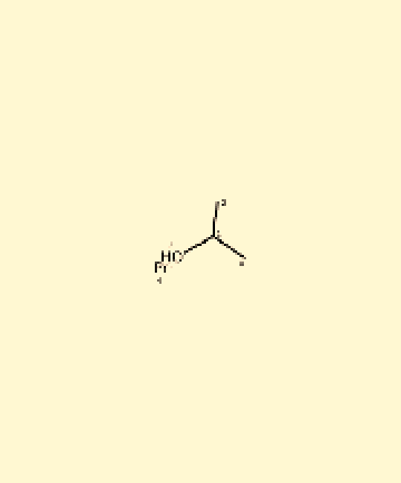 CC(C)O.[Pr]